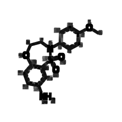 COc1ccc(N2CCOc3ccc(N)cc3S2(=O)=O)cc1